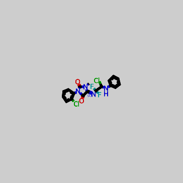 CN1C(=O)N(c2ccccc2Cl)C(=O)/C1=N/C(F)(F)C(Cl)Nc1ccccc1